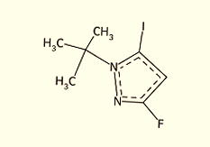 CC(C)(C)n1nc(F)cc1I